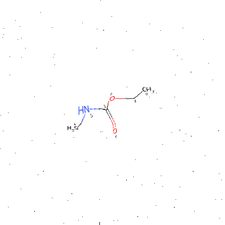 CCOC(=O)N[SiH3]